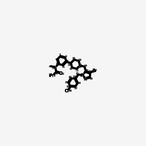 CC(C)C(=O)N(C)c1cccc(C2CCN(Cc3c(Br)cnn3Cc3ccc(Cl)cc3)CC2)c1